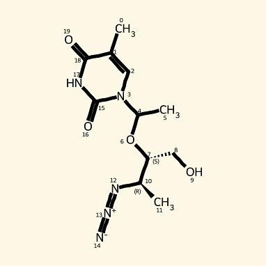 Cc1cn(C(C)O[C@H](CO)[C@@H](C)N=[N+]=[N-])c(=O)[nH]c1=O